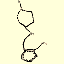 CCN1CCC(NCc2cnccc2N)CC1